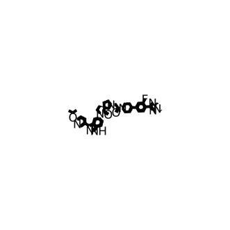 CC(C)Oc1ccc(-c2n[nH]c3ccc(N4CC[C@]5(CCN(CC(=O)N6CC=C(c7ccc(-c8ncn(C)n8)c(F)c7)CC6)C5)C4=O)cc23)cn1